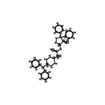 O=C(CN1CCC(c2ccccc2)(c2ccccc2)C1=O)NC1CCN(C(c2ccccc2)c2ccccc2)CC1